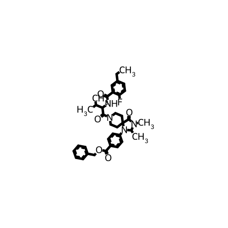 CCc1ccc(F)c(C(=O)NC(C(=O)N2CCC3(CC2)C(=O)N(C)C(C)N3c2ccc(C(=O)OCc3ccccc3)cc2)C(C)C)c1